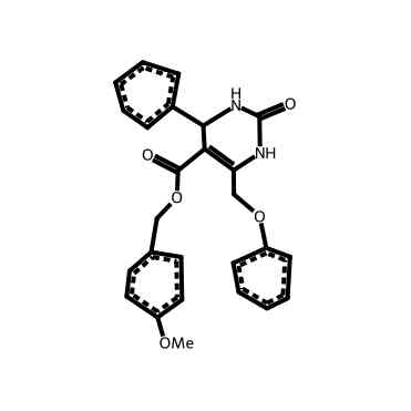 COc1ccc(COC(=O)C2=C(COc3ccccc3)NC(=O)NC2c2ccccc2)cc1